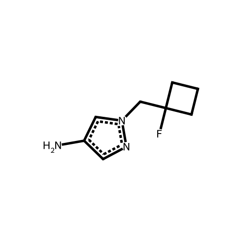 Nc1cnn(CC2(F)CCC2)c1